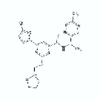 CCc1cnc(-c2cc(OC[C@H]3CCCO3)cc(C(=O)NC(C)c3cnc(C)cn3)c2)s1